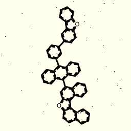 c1cc(-c2ccc3oc4ccccc4c3c2)cc(-c2c3ccccc3c(-c3cc4oc5ccc6ccccc6c5c4c4ccccc34)c3ccccc23)c1